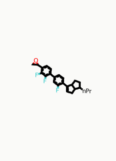 CCCC1CCC2C(c3ccc(-c4ccc(C5CO5)c(F)c4F)cc3F)=CCC12